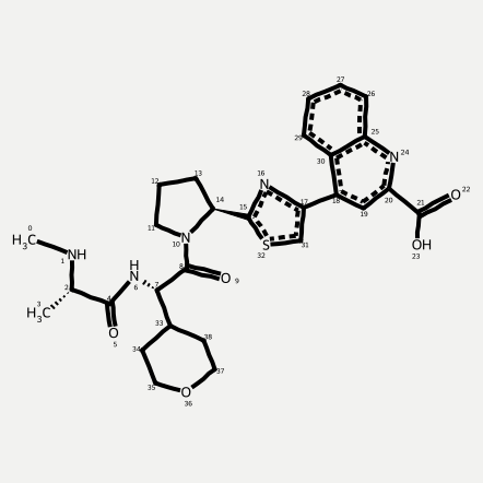 CN[C@@H](C)C(=O)N[C@H](C(=O)N1CCC[C@H]1c1nc(-c2cc(C(=O)O)nc3ccccc23)cs1)C1CCOCC1